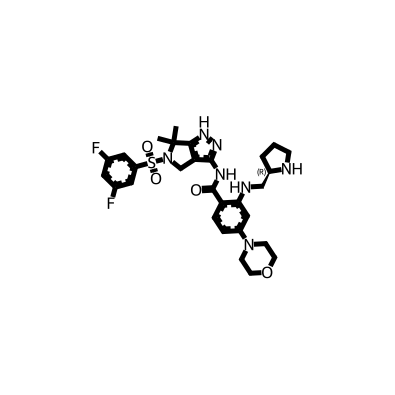 CC1(C)c2[nH]nc(NC(=O)c3ccc(N4CCOCC4)cc3NC[C@H]3CCCN3)c2CN1S(=O)(=O)c1cc(F)cc(F)c1